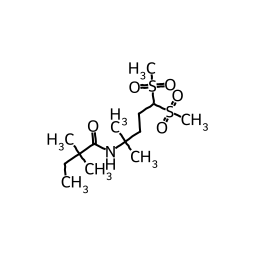 CCC(C)(C)C(=O)NC(C)(C)CCC(S(C)(=O)=O)S(C)(=O)=O